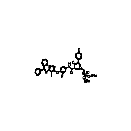 CC(C)(C)OP(=O)(OCn1cc(C(=O)Nc2ccc(Oc3ccnc(N=C(c4ccccc4)c4ccccc4)c3I)c(F)c2)c(=O)c(-c2ccc(F)cc2)c1)OC(C)(C)C